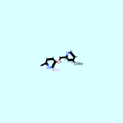 Bc1nc(C)ccc1OCc1cc(OC)ccn1